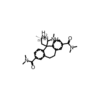 CNC(=N)C1(C[C@H](C)N)c2ccc(C(=O)N(C)C)cc2CCc2cc(C(=O)N(C)C)ccc21